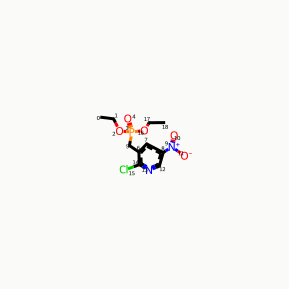 CCOP(=O)(Cc1cc([N+](=O)[O-])cnc1Cl)OCC